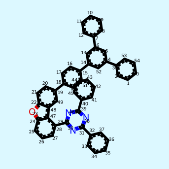 c1ccc(-c2cc(-c3ccccc3)cc(-c3ccc(-c4ccc5oc6cccc(-c7nc(-c8ccccc8)nc(-c8ccccc8)n7)c6c5c4)cc3)c2)cc1